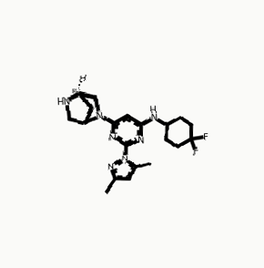 Cc1cc(C)n(-c2nc(NC3CCC(F)(F)CC3)cc(N3C[C@H]4CC3CN4)n2)n1